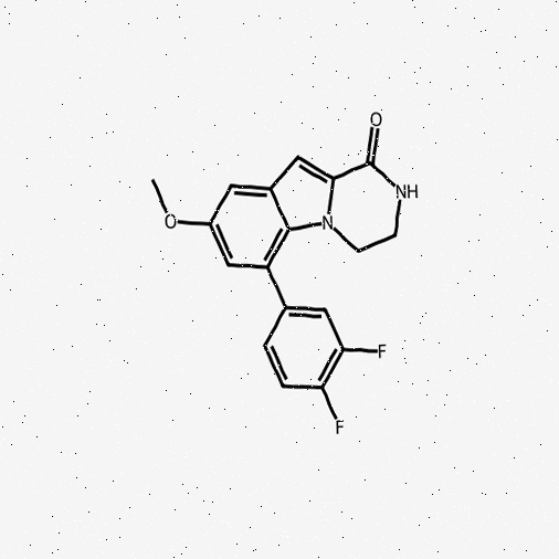 COc1cc(-c2ccc(F)c(F)c2)c2c(c1)cc1n2CCNC1=O